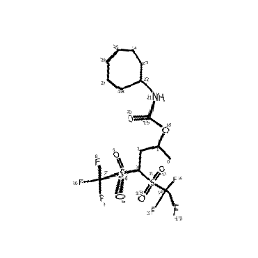 CC(CC(S(=O)(=O)C(F)(F)F)S(=O)(=O)C(F)(F)F)OC(=O)NC1CCCCCC1